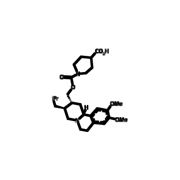 COc1cc2c(cc1OC)[C@H]1C[C@@H](COC(=O)N3CCC(C(=O)O)CC3)[C@H](CC(C)C)CN1CC2